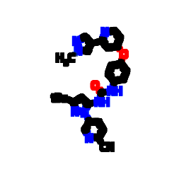 Cn1cc(-c2cc(Oc3ccc(NC(=O)Nc4cc(C(C)(C)C)nn4-c4ccc(C#N)nc4)cc3)ccn2)cn1